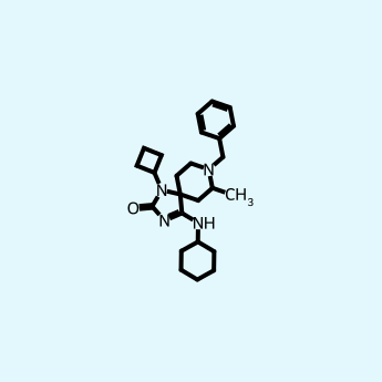 CC1CC2(CCN1Cc1ccccc1)C(NC1CCCCC1)=NC(=O)N2C1CCC1